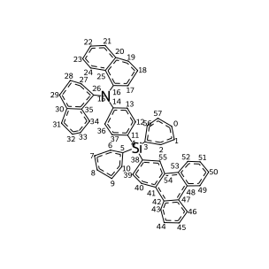 c1ccc([Si](c2ccccc2)(c2ccc(N(c3cccc4ccccc34)c3cccc4ccccc34)cc2)c2ccc3c4ccccc4c4ccccc4c3c2)cc1